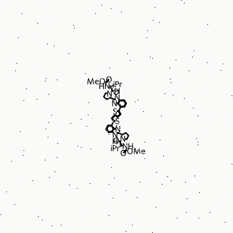 COC(=O)N[C@H](C(=O)N1CCCC1c1nc2c(-c3cc4sc(-c5cccc6[nH]c(C7CCCN7C(=O)[C@@H](NC(=O)OC)C(C)C)nc56)cc4s3)cccc2[nH]1)C(C)C